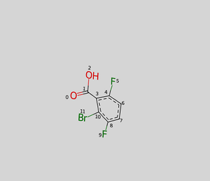 O=C(O)c1c(F)ccc(F)c1Br